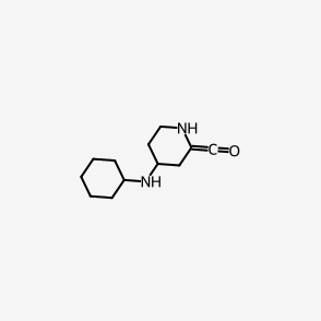 O=C=C1CC(NC2CCCCC2)CCN1